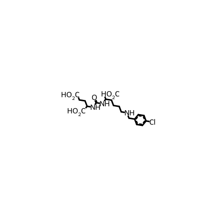 O=C(O)CCC(NC(=O)NC(CCCCNCc1ccc(Cl)cc1)C(=O)O)C(=O)O